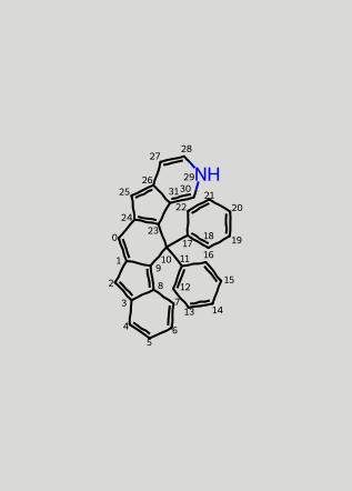 C1=C2C=c3ccccc3=C2C(c2ccccc2)(c2ccccc2)c2c1cc1cc[nH]cc2-1